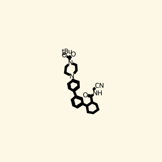 CC(C)(C)OC(=O)N1CCN(c2ccc(-c3cccc(C4CCCCC4C(=O)NCC#N)c3)cc2)CC1